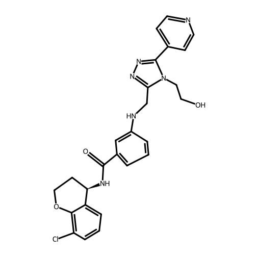 O=C(N[C@@H]1CCOc2c(Cl)cccc21)c1cccc(NCc2nnc(-c3ccncc3)n2CCO)c1